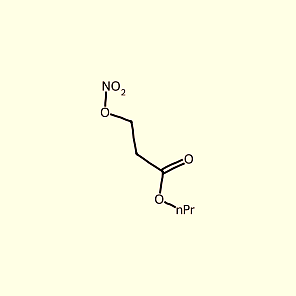 CCCOC(=O)CCO[N+](=O)[O-]